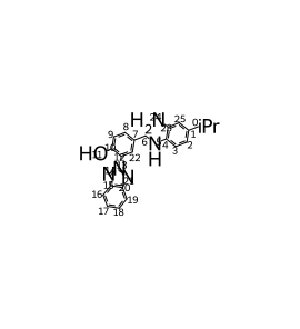 CC(C)c1ccc(NCc2ccc(O)c(-n3nc4ccccc4n3)c2)c(N)c1